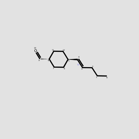 CCC/C=C/[C@H]1CC[C@H](C=O)CC1